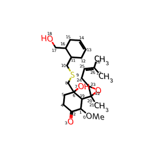 COC1C(=O)CCC(O)(CSCC2CC=CCC2CO)C1C1(C)OC1CC=C(C)C